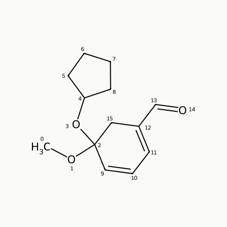 COC1(OC2CCCC2)C=CC=C(C=O)C1